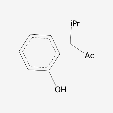 CC(=O)CC(C)C.Oc1ccccc1